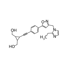 CCc1nccn1Cc1cc(-c2ccc(C#CC3C(CO)C3CO)cc2)on1